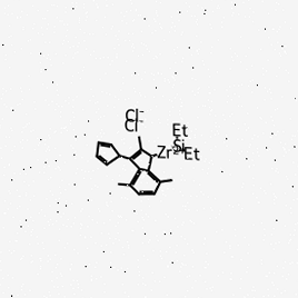 CC[Si](CC)=[Zr+2][CH]1C(C)=C(C2C=CC=C2)c2c(C)ccc(C)c21.[Cl-].[Cl-]